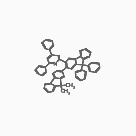 CC1(C)c2ccccc2-c2ccc(-c3cc4c(cc3-c3cc(-c5ccccc5)cc(-c5ccccc5)n3)-c3ccccc3C4(c3ccccc3)c3ccccc3)cc21